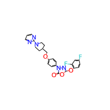 O=c1oc(Oc2ccc(F)cc2F)nn1-c1ccc(OCC2CCN(c3ncccn3)CC2)cc1